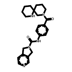 O=C(Nc1ccc(C(=O)N2CCCC3(CCCCN3)C2)cc1)N1Cc2ccncc2C1